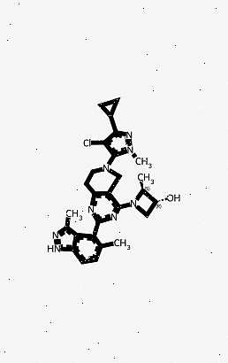 Cc1ccc2[nH]nc(C)c2c1-c1nc2c(c(N3C[C@@H](O)[C@@H]3C)n1)CN(c1c(Cl)c(C3CC3)nn1C)CC2